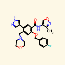 Cc1nocc1NC(=O)c1cc(-c2cn[nH]c2)c(CN2CCOCC2)cc1OCc1ccc(F)cc1